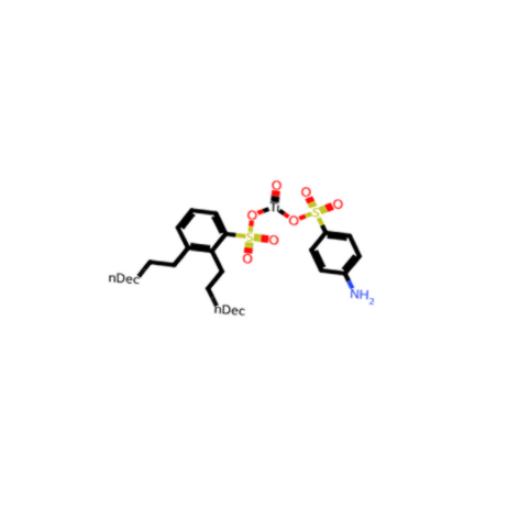 CCCCCCCCCCCCc1cccc(S(=O)(=O)[O][Ti](=[O])[O]S(=O)(=O)c2ccc(N)cc2)c1CCCCCCCCCCCC